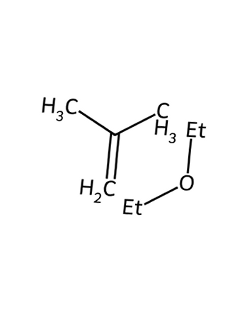 C=C(C)C.CCOCC